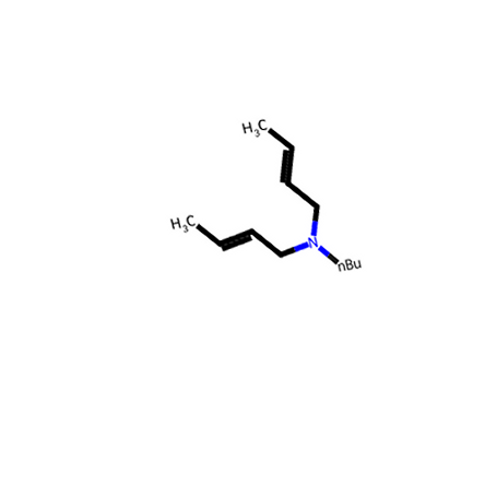 CC=CCN(CC=CC)CCCC